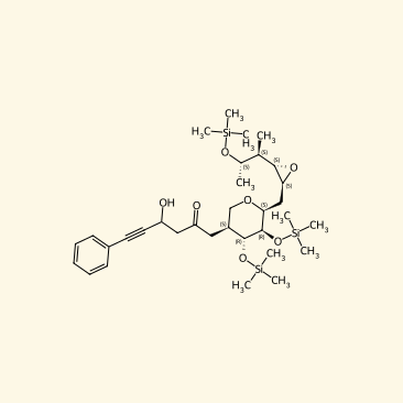 C[C@@H]([C@@H]1O[C@H]1C[C@@H]1OC[C@H](CC(=O)CC(O)C#Cc2ccccc2)[C@@H](O[Si](C)(C)C)[C@@H]1O[Si](C)(C)C)[C@H](C)O[Si](C)(C)C